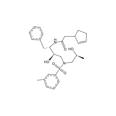 Cc1cccc(S(=O)(=O)N(C[C@H](C)O)C[C@@H](O)[C@H](Cc2ccccc2)NC(=O)CC2C=CCC2)c1